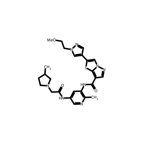 COCCn1cc(-c2cn3ncc(C(=O)Nc4cc(NC(=O)CN5CCC(C)C5)cnc4C)c3s2)cn1